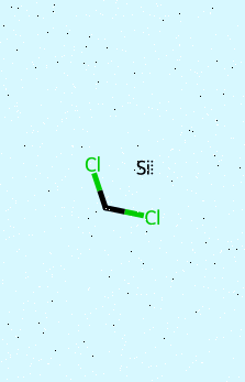 ClCCl.[Si]